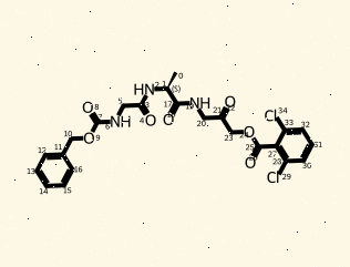 C[C@H](NC(=O)CNC(=O)OCc1ccccc1)C(=O)NCC(=O)COC(=O)c1c(Cl)cccc1Cl